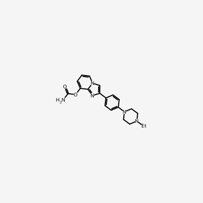 CCN1CCN(c2ccc(-c3cn4cccc(OC(N)=O)c4n3)cc2)CC1